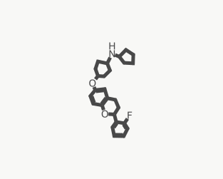 Fc1ccccc1C1CCc2cc(OC3CCC(NC4CCCC4)CC3)ccc2O1